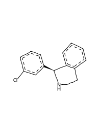 Clc1cccc([C@@H]2NCCc3ccccc32)c1